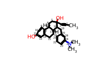 CC#CC1(O)CC[C@@H]2c3ccc(O)cc3CC[C@H]2C1Cc1cccc(N(C)C)c1